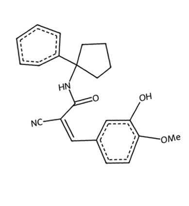 COc1ccc(C=C(C#N)C(=O)NC2(c3ccccc3)CCCC2)cc1O